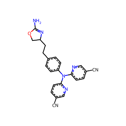 N#Cc1ccc(N(c2ccc(CCC3COC(N)=N3)cc2)c2ccc(C#N)cn2)nc1